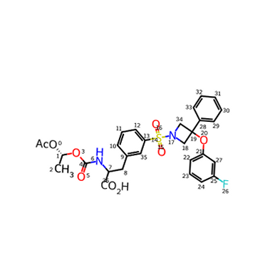 CC(=O)O[C@@H](C)OC(=O)NC(Cc1cccc(S(=O)(=O)N2CC(Oc3cccc(F)c3)(c3ccccc3)C2)c1)C(=O)O